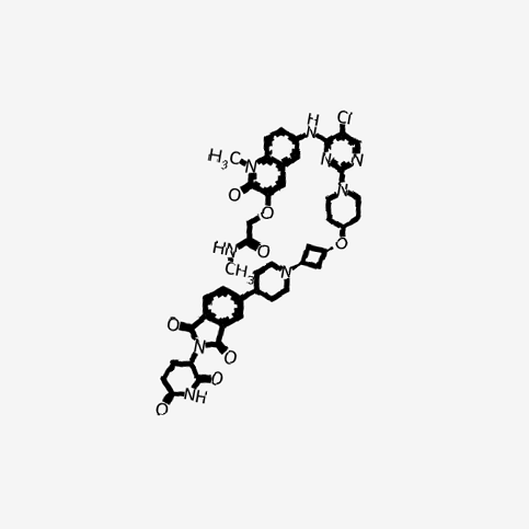 CNC(=O)COc1cc2cc(Nc3nc(N4CCC(O[C@H]5C[C@H](N6CCC(c7ccc8c(c7)C(=O)N(C7CCC(=O)NC7=O)C8=O)CC6)C5)CC4)ncc3Cl)ccc2n(C)c1=O